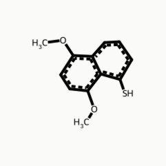 COc1ccc(OC)c2c(S)cccc12